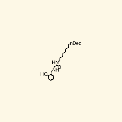 CCCCCCCCCCCCCCCCCCNC(=O)CNCc1ccccc1O